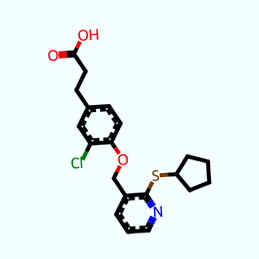 O=C(O)CCc1ccc(OCc2cccnc2SC2CCCC2)c(Cl)c1